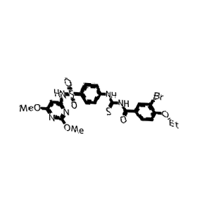 CCOc1ccc(C(=O)NC(=S)Nc2ccc(S(=O)(=O)Nc3cc(OC)nc(OC)n3)cc2)cc1Br